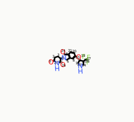 O=C1CCC(N2Cc3cc(OC4CNCC4C(F)(F)F)ccc3C2=O)C(=O)N1